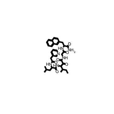 CCC(C)C(NC(=O)C(CC(C)C)NC(=O)Cc1cccnc1)C(=O)C(=O)NCC(=O)NC(Cc1ccc2ccccc2c1)C(N)=O